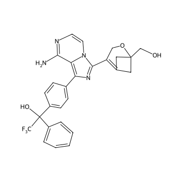 Nc1nccn2c(C3=C4CC(CO)(C4)OC3)nc(-c3ccc(C(O)(c4ccccc4)C(F)(F)F)cc3)c12